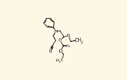 CCOC(=O)OC(CN(CCC#N)c1ccccc1)OCC